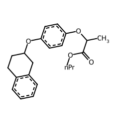 CCCOC(=O)C(C)Oc1ccc(OC2CCc3ccccc3C2)cc1